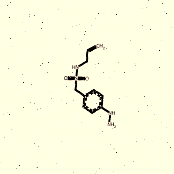 C=CCNS(=O)(=O)Cc1ccc(NN)cc1